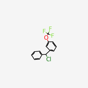 FC(F)(F)Oc1cccc(C(Cl)c2ccccc2)c1